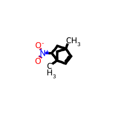 CC12C=CC(C)(C1)C([N+](=O)[O-])C2